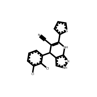 N#CC1=C(c2cccs2)Nc2n[nH]cc2C1c1cccc(Cl)c1Cl